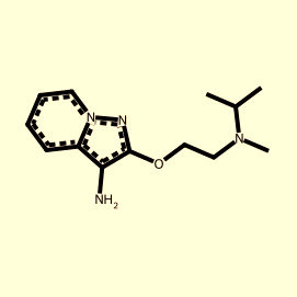 CC(C)N(C)CCOc1nn2ccccc2c1N